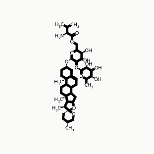 CC1O[C@@H](OC2C(O)[C@H](O)C(COC(=O)[C@@H](N)C(C)C)O[C@H]2O[C@H]2CC[C@@]3(C)C(=CCC4C5CC6O[C@]7(CC[C@@H](C)CO7)[C@@H](C)C6[C@@]5(C)CCC43)C2)[C@@H](O)C(O)[C@H]1O